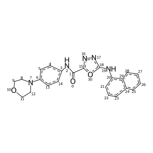 O=C(Nc1ccc(N2CCOCC2)cc1)c1nnc(Nc2cccc3ccccc23)o1